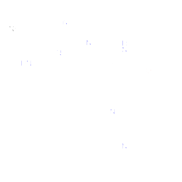 C=CC(=O)Nc1cc(N2CCN(C)CC2)ccc1Nc1ncc(C#N)c(NC2CCCCC2)n1